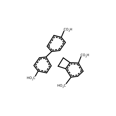 O=C(O)c1ccc(-c2ccc(C(=O)O)cc2)cc1.O=C(O)c1ccc(C(=O)O)c2c1CC2